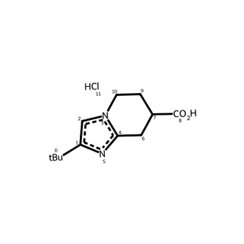 CC(C)(C)c1cn2c(n1)CC(C(=O)O)CC2.Cl